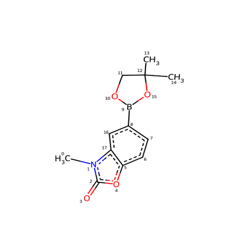 Cn1c(=O)oc2ccc(B3OCC(C)(C)O3)cc21